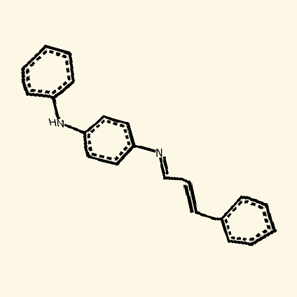 C(=C\c1ccccc1)/C=N/c1ccc(Nc2ccccc2)cc1